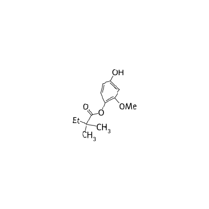 CCC(C)(C)C(=O)Oc1ccc(O)cc1OC